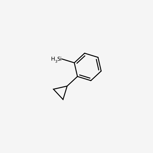 [SiH3]c1ccccc1C1CC1